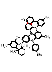 Cc1cc2c3c(c1)N(c1ccc(C(C)(C)C)cc1-c1ccccc1)c1cc(C(C)(C)C)ccc1B3c1ccc(N3c4c(C)cc(C)cc4C4(C)CCCCC34C)cc1N2c1ccc(C(C)(C)C)cc1